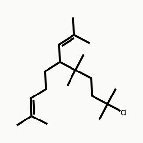 CC(C)=CCCC(C=C(C)C)C(C)(C)CCC(C)(C)Cl